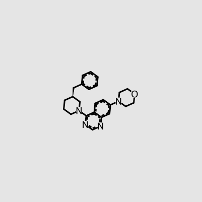 c1ccc(C[C@@H]2CCCN(c3ncnc4cc(N5CCOCC5)ccc34)C2)cc1